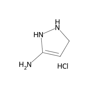 Cl.NC1=CCNN1